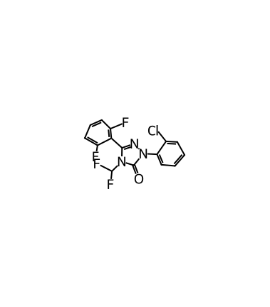 O=c1n(-c2ccccc2Cl)nc(-c2c(F)cccc2F)n1C(F)F